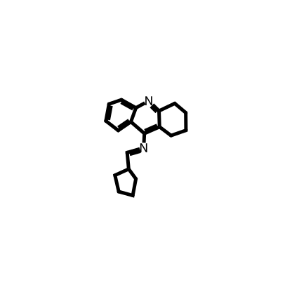 C(=Nc1c2c(nc3ccccc13)CCCC2)C1CCCC1